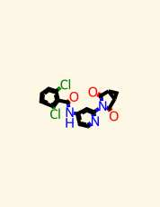 O=C(Nc1ccnc(N2C(=O)C3CC3C2=O)c1)c1c(Cl)cccc1Cl